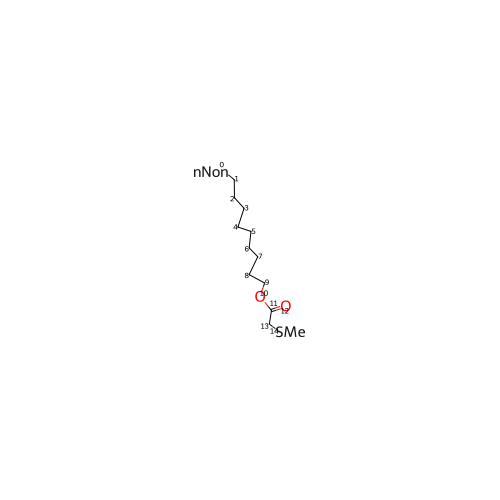 CCCCCCCCCCCCCCCCCCOC(=O)CSC